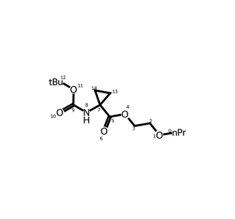 CCCOCCOC(=O)C1(NC(=O)OC(C)(C)C)CC1